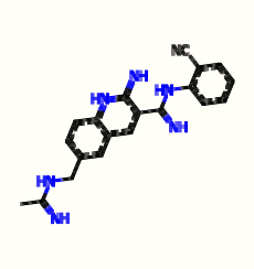 CC(=N)NCc1ccc2[nH]c(=N)c(C(=N)Nc3ccccc3C#N)cc2c1